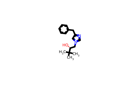 CC(C)(C)[C@H](O)Cn1cnc(Cc2ccccc2)c1